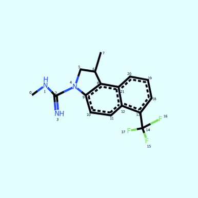 CNC(=N)N1CC(C)c2c1ccc1c(C(F)(F)F)cccc21